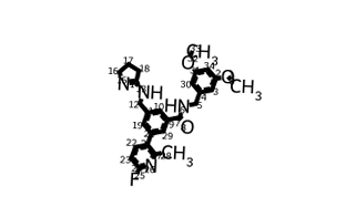 COc1cc(CNC(=O)c2cc(CNC3=NCCC3)cc(-c3ccc(F)nc3C)c2)cc(OC)c1